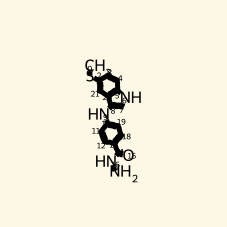 CSc1ccc2[nH]cc(Nc3ccc(C(=O)NN)cc3)c2c1